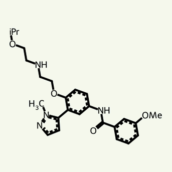 COc1cccc(C(=O)Nc2ccc(OCCNCCOC(C)C)c(-c3ccnn3C)c2)c1